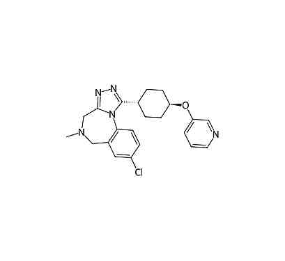 CN1Cc2cc(Cl)ccc2-n2c(nnc2[C@H]2CC[C@H](Oc3cccnc3)CC2)C1